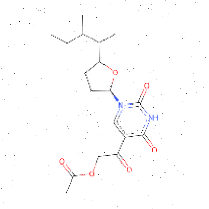 CCC(C)C(C)C1CC[C@H](n2cc(C(=O)COC(C)=O)c(=O)[nH]c2=O)O1